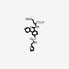 CSCC[C@H](NC(=O)c1ccc(S[S+]([O-])NCc2cccs2)cc1-c1ccccc1)C(=O)O